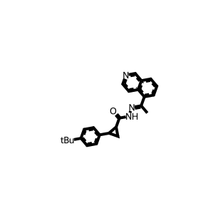 CC(=NNC(=O)C1CC1c1ccc(C(C)(C)C)cc1)c1cccc2cnccc12